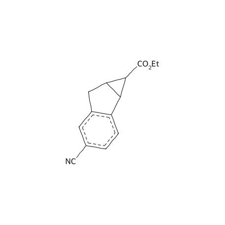 CCOC(=O)C1C2Cc3cc(C#N)ccc3C21